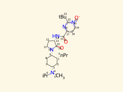 CCC[C@@H]1C[C@H](N(C)C(C)C)CC[C@@H]1N1CC[C@H](NC(=O)c2cc[n+]([O-])c(C(C)(C)C)n2)C1=O